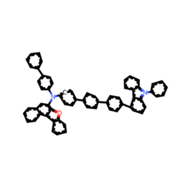 c1ccc(-c2ccc(N(c3ccc(-c4ccc(-c5ccc(-c6cccc7c6c6ccccc6n7-c6ccccc6)cc5)cc4)cc3)c3cc4ccccc4c4c3oc3ccccc34)cc2)cc1